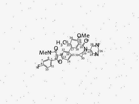 CNC(=O)c1c(-c2ccc(F)cc2)oc2ccc(-c3cc(C(=O)N(c4cncnc4)C4CC4)c(OC)cc3C)cc12